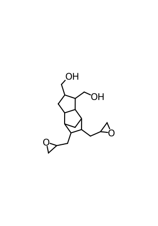 OCC1CC2C3CC(C(CC4CO4)C3CC3CO3)C2C1CO